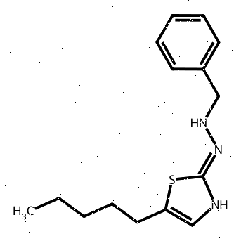 CCCCCc1c[nH]c(=NNCc2ccccc2)s1